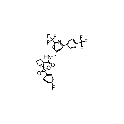 O=C(NCc1cc(-c2ccc(C(F)(F)F)cc2)nc(C(F)(F)F)n1)[C@@H]1CCCN1S(=O)(=O)c1ccc(F)cc1